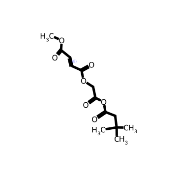 COC(=O)/C=C/C(=O)OCC(=O)OC(=O)CC(C)(C)C